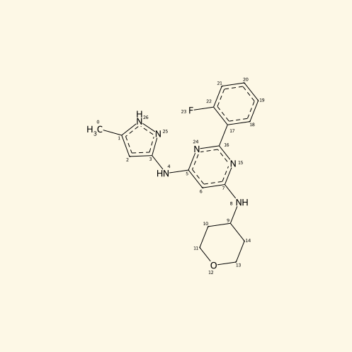 Cc1cc(Nc2cc(NC3CCOCC3)nc(-c3ccccc3F)n2)n[nH]1